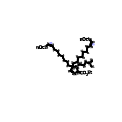 CCCCCCCC/C=C\CCCCCCCC1(CCCCCCC/C=C\CCCCCCCC)C=NC(C(=O)OCC)N1CCCN(C)C